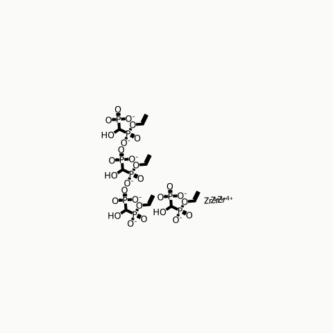 C=COP(=O)([O-])C(O)P(=O)([O-])[O-].C=COP(=O)([O-])C(O)P(=O)([O-])[O-].C=COP(=O)([O-])C(O)P(=O)([O-])[O-].C=COP(=O)([O-])C(O)P(=O)([O-])[O-].[Zr+4].[Zr+4].[Zr+4]